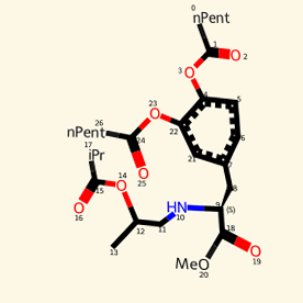 CCCCCC(=O)Oc1ccc(C[C@H](NCC(C)OC(=O)C(C)C)C(=O)OC)cc1OC(=O)CCCCC